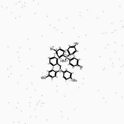 CC(C)(C)c1ccc([S+](Cc2ccccc2)c2ccc(C(C)(C)C)cc2)cc1.CCCC[B-](c1ccc(Br)cc1)(c1ccc(Br)cc1)c1ccc(Br)cc1